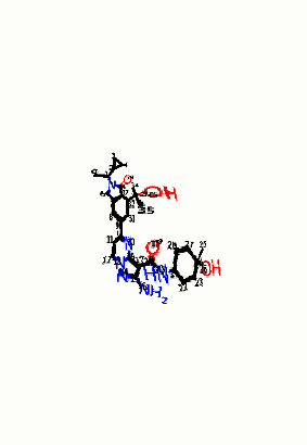 CC(C1CC1)N1Cc2cc(-c3ccn4nc(N)c(C(=O)N[C@H]5CC[C@@](C)(O)CC5)c4n3)cc(C(C)(C)O)c2C1=O